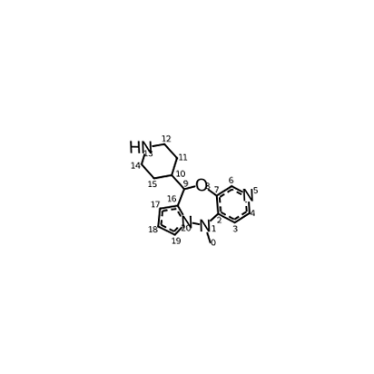 CN1c2ccncc2OC(C2CCNCC2)c2cccn21